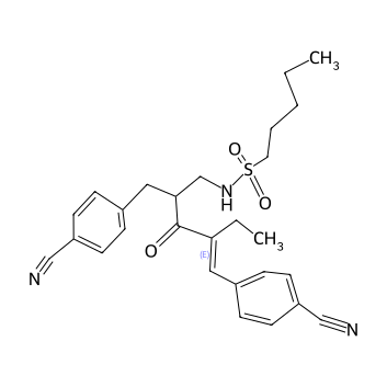 CCCCCS(=O)(=O)NCC(Cc1ccc(C#N)cc1)C(=O)/C(=C/c1ccc(C#N)cc1)CC